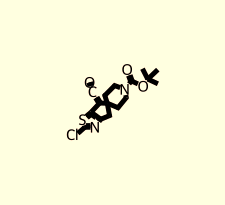 CC(C)(C)OC(=O)N1CCC2(CC1)Cc1nc(Cl)sc1C2=C=O